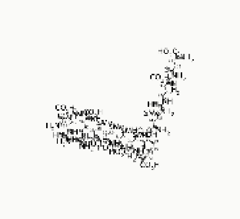 CSCC[C@H](N)C(=O)O.CSCC[C@H](N)C(=O)O.CSCC[C@H](N)C(=O)O.CSCC[C@H](N)C(=O)O.CSCC[C@H](N)C(=O)O.N=C(N)NCCC[C@H](N)C(=O)O.N=C(N)NCCC[C@H](N)C(=O)O.N=C(N)NCCC[C@H](N)C(=O)O.NC(=O)CC[C@H](N)C(=O)O.NCC(=O)O.N[C@@H](Cc1ccc(O)cc1)C(=O)O